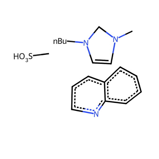 CCCCN1C=CN(C)C1.CS(=O)(=O)O.c1ccc2ncccc2c1